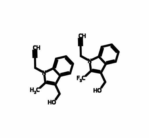 C#CCn1c(C(F)(F)F)c(CO)c2ccccc21.C#CCn1c(C)c(CO)c2ccccc21